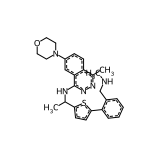 CNCc1ccccc1-c1ccc(C(C)Nc2nnc(C)c3ccc(N4CCOCC4)cc23)s1